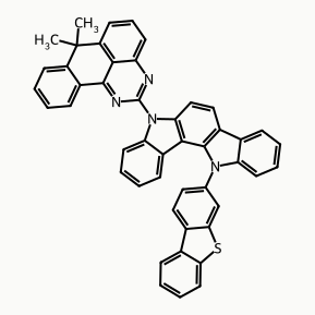 CC1(C)c2ccccc2-c2nc(-n3c4ccccc4c4c3ccc3c5ccccc5n(-c5ccc6c(c5)sc5ccccc56)c34)nc3cccc1c23